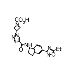 CCc1nc(-c2ccc3c(c2)CCC3NC(=O)c2cnn(C3CN(C(=O)O)C3)c2)no1